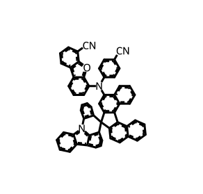 N#Cc1ccc(N(c2cc3c(c4ccccc24)-c2c(ccc4ccccc24)C32c3ccccc3-n3c4ccccc4c4cccc2c43)c2cccc3c2oc2c(C#N)cccc23)cc1